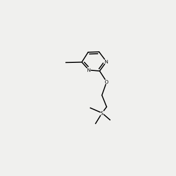 Cc1ccnc(OCCS(C)(C)C)n1